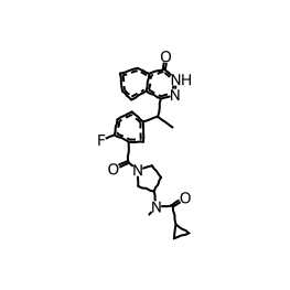 CC(c1ccc(F)c(C(=O)N2CCC(N(C)C(=O)C3CC3)C2)c1)c1n[nH]c(=O)c2ccccc12